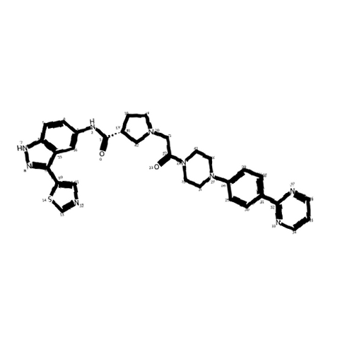 O=C(Nc1ccc2[nH]nc(-c3cncs3)c2c1)[C@@H]1CCN(CC(=O)N2CCN(c3ccc(-c4ncccn4)cc3)CC2)C1